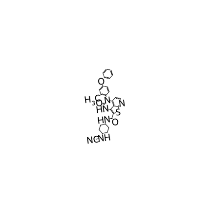 Cc1cc(Oc2ccccc2)ccc1N1C(=O)Nc2c(C(=O)N[C@H]3CC[C@@H](NC#N)CC3)sc3nccc1c23